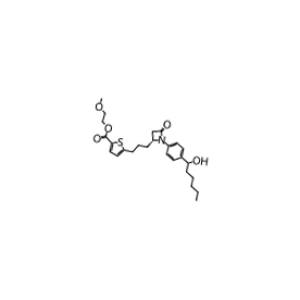 CCCCCC(O)c1ccc(N2C(=O)C[C@@H]2CCCc2ccc(C(=O)OCCOC)s2)cc1